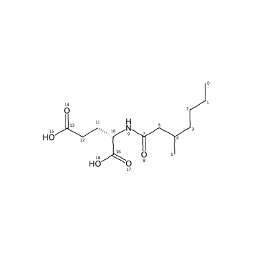 CCCCC(C)CC(=O)N[C@@H](CCC(=O)O)C(=O)O